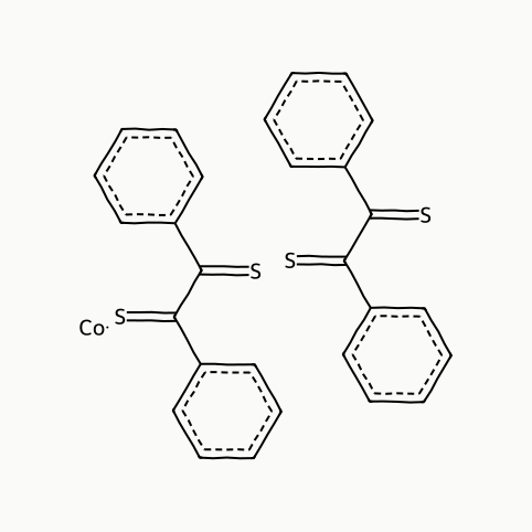 S=C(C(=S)c1ccccc1)c1ccccc1.S=C(C(=S)c1ccccc1)c1ccccc1.[Co]